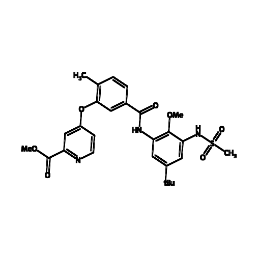 COC(=O)c1cc(Oc2cc(C(=O)Nc3cc(C(C)(C)C)cc(NS(C)(=O)=O)c3OC)ccc2C)ccn1